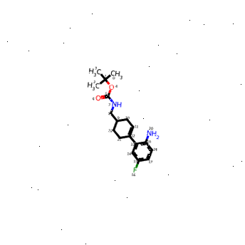 CC(C)(C)OC(=O)NCC1CC=C(c2cc(F)ccc2N)CC1